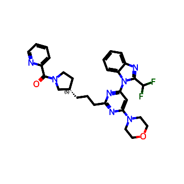 O=C(c1ccccn1)N1CC[C@H](CCCc2nc(N3CCOCC3)cc(-n3c(C(F)F)nc4ccccc43)n2)C1